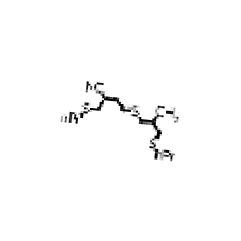 CCCSCC(C)CSCCC(C#N)CSCCC